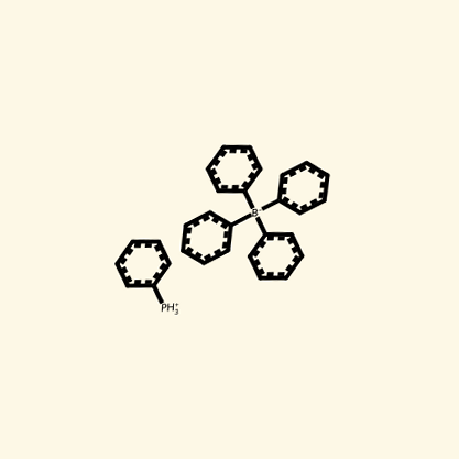 [PH3+]c1ccccc1.c1ccc([B-](c2ccccc2)(c2ccccc2)c2ccccc2)cc1